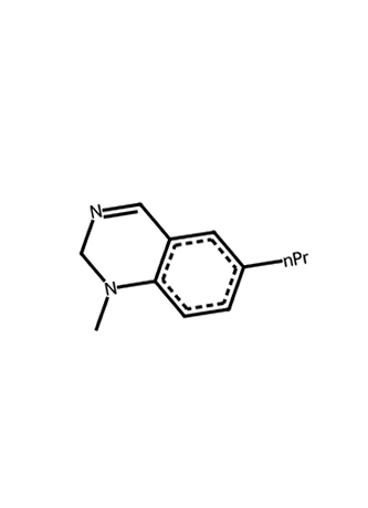 CCCc1ccc2c(c1)C=NCN2C